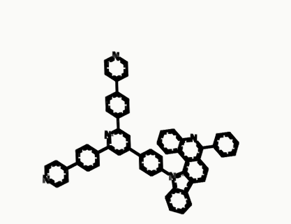 c1ccc(-c2nc3ccccc3c3c2ccc2c4ccccc4n(-c4ccc(-c5cc(-c6ccc(-c7ccncc7)cc6)nc(-c6ccc(-c7ccncc7)cc6)c5)cc4)c23)cc1